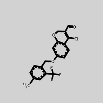 Cc1ccc(COc2ccc3c(c2)OCC(C=O)=C3Cl)c(C(F)(F)F)c1